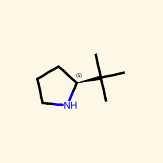 CC(C)(C)[C@@H]1CCCN1